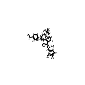 CCc1ccc([C@H]2C[C@@H](C(F)(F)F)n3ncc(C(=O)NCc4ccc(C)n4C)c3N2)cc1